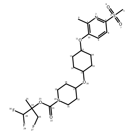 Cc1nc(S(C)(=O)=O)ccc1OC1CCC(OC2CCN(C(=O)OC(C)(CF)C(F)F)CC2)CC1